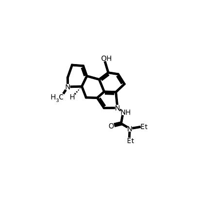 CCN(CC)C(=O)Nn1cc2c3c(c(O)ccc31)C1=CCCN(C)[C@@H]1C2